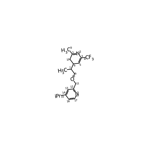 CC1=NC(C(F)(F)F)=CC(C(C)COCc2cc(C(C)C)ccn2)C1